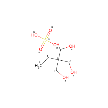 CCC(CO)(CO)CO.O=S(=O)(O)O